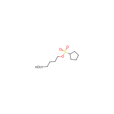 CCCCCCCCCCCCOS(=O)(=O)C1CCCC1